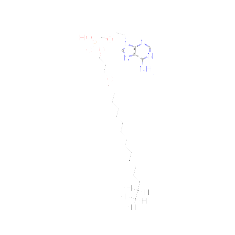 [2H]C([2H])([2H])C([2H])([2H])CCCCCCCCCCCCCCOCCCOP(=O)(O)CO[C@H](C)Cn1cnc2c(N)ncnc21